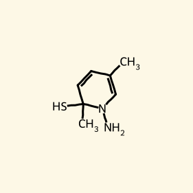 CC1=CN(N)C(C)(S)C=C1